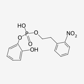 O=[N+]([O-])c1ccccc1CCOP(=O)(O)Oc1ccccc1O